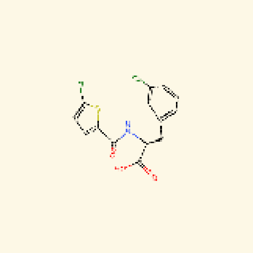 O=C(N[C@@H](Cc1cccc(Cl)c1)C(=O)O)c1ccc(Cl)s1